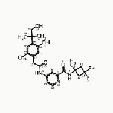 CC1(NC(=O)c2cc(NC(=O)Cc3cc(O)c(C(C)(C)CO)cc3Cl)ccn2)CC(F)(F)C1